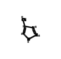 N#CC1=C[N]N=N1